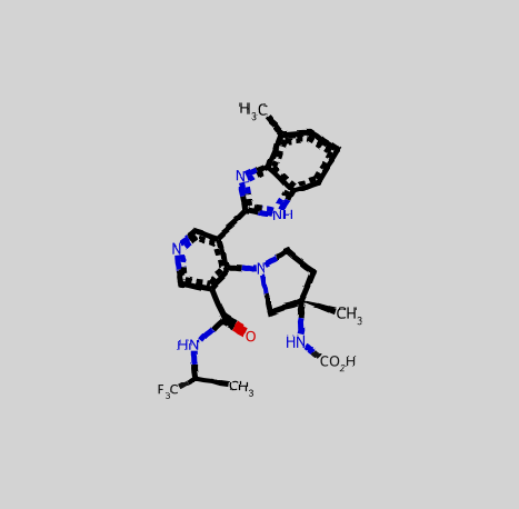 Cc1cccc2[nH]c(-c3cncc(C(=O)NC(C)C(F)(F)F)c3N3CC[C@](C)(NC(=O)O)C3)nc12